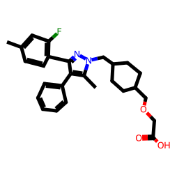 Cc1ccc(-c2nn(CC3CCC(COCC(=O)O)CC3)c(C)c2-c2ccccc2)c(F)c1